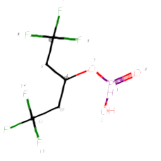 O=[PH](O)OC(CC(F)(F)F)CC(F)(F)F